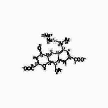 CCCc1c2nc(C(=O)[O-])cc(N(C)C(C)=O)c2cc2c(=O)cc(C(=O)[O-])oc12.[Na+].[Na+]